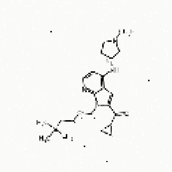 C[Si](C)(C)CCOCn1c(C(=O)C2CC2)cc2c(N[C@@H]3CCN(C(=O)O)C3)ccnc21